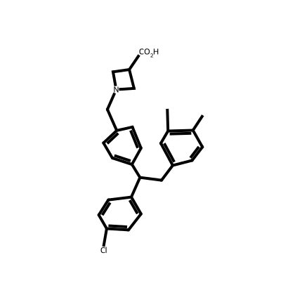 Cc1ccc(CC(c2ccc(Cl)cc2)c2ccc(CN3CC(C(=O)O)C3)cc2)cc1C